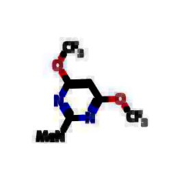 CNc1nc(OC(F)(F)F)cc(OC(F)(F)F)n1